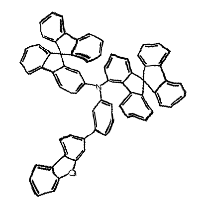 c1cc(-c2ccc3c(c2)oc2ccccc23)cc(N(c2ccc3c(c2)C2(c4ccccc4-c4ccccc42)c2ccccc2-3)c2cccc3c2-c2ccccc2C32c3ccccc3-c3ccccc32)c1